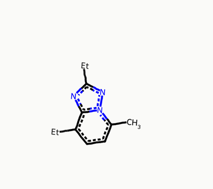 CCc1nc2c(CC)ccc(C)n2n1